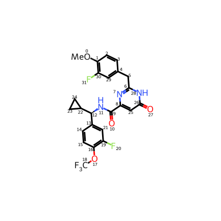 COc1ccc(Cc2nc(C(=O)N[C@@H](c3ccc(OC(F)(F)F)c(F)c3)C3CC3)cc(=O)[nH]2)cc1F